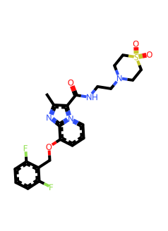 Cc1nc2c(OCc3c(F)cccc3F)cccn2c1C(=O)NCCN1CCS(=O)(=O)CC1